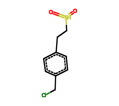 O=[SH](=O)CCc1ccc(CCl)cc1